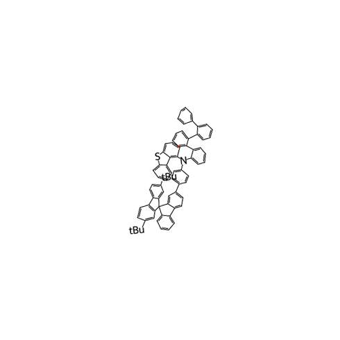 CC(C)(C)c1ccc2c(c1)C1(c3ccccc3-c3ccc(-c4ccc(N(c5ccccc5-c5ccccc5-c5ccccc5-c5ccccc5)c5cccc6sc7ccccc7c56)cc4)cc31)c1cc(C(C)(C)C)ccc1-2